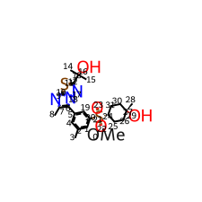 COc1c(C)cc(-c2c(C)nc3sc(C(C)(C)O)nn23)cc1S(=O)(=O)[C@H]1CC[C@@](C)(O)CC1